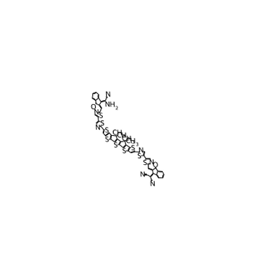 CC1(C)c2c(sc3c2C(C)(C)c2c-3sc3cc(-c4ncc(-c5cnc(/C=C6\C(=O)c7ccccc7\C6=C(\N)C#N)s5)s4)sc23)-c2sc3cc(-c4ncc(-c5cnc(/C=C6\C(=O)c7ccccc7C6=C(C#N)C#N)s5)s4)sc3c21